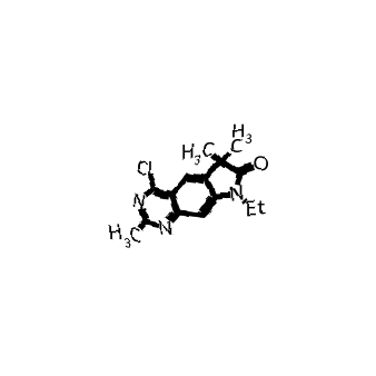 CCN1C(=O)C(C)(C)c2cc3c(Cl)nc(C)nc3cc21